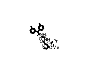 COc1ccnc(C(=O)N[C@@H](C)C(=O)N[C@@H](C)C(c2cccc(C)c2)c2cccc(C)c2)c1OC(=O)C(C)C